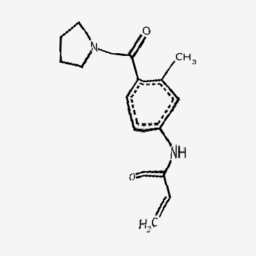 C=CC(=O)Nc1ccc(C(=O)N2CCCC2)c(C)c1